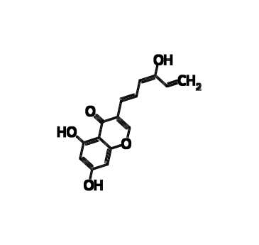 C=C/C(O)=C\C=C\c1coc2cc(O)cc(O)c2c1=O